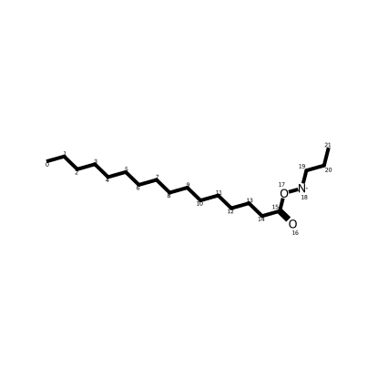 CCCCCCCCCCCCCCCC(=O)O[N]CCC